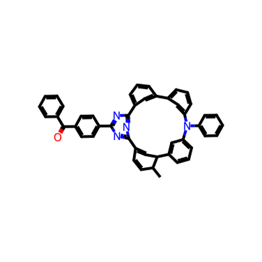 CC1C=CC2=CC1c1cccc(c1)N(c1ccccc1)c1cccc(c1)-c1cccc(c1)-c1nc2nc(-c2ccc(C(=O)c3ccccc3)cc2)n1